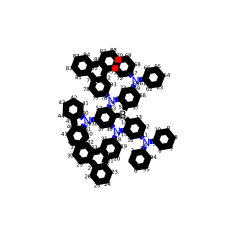 c1ccc(N(c2ccccc2)c2ccc3c(c2)N(c2ccc4c5ccccc5c5ccccc5c4c2)c2cc(-n4c5ccccc5c5ccccc54)cc4c2B3c2ccc(N(c3ccccc3)c3ccccc3)cc2N4c2ccc3c4ccccc4c4ccccc4c3c2)cc1